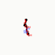 O=C(NCCNCC(O)c1cc2cc(OCCOC3CCCC3)ccc2o1)Nc1ccc(O)cc1